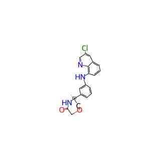 C[C@]1(c2cccc(Nc3cccc4cc(Cl)cnc34)c2)COCC(=O)N1